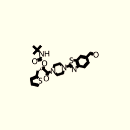 CC(C)(C)NC(=O)O[C@@H](Cc1cccs1)C(=O)N1CCN(c2nc3ccc(C=O)cc3s2)CC1